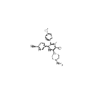 COc1ccc(-c2c(-c3ccc(C#N)nc3)nc(N3CCC(N)CC3)c(=O)n2C)cc1